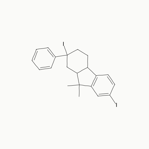 CC1(C)c2cc(I)ccc2C2CCC(I)(c3ccccc3)CC21